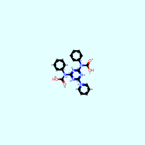 O=C(O)N(c1ccccc1)c1nc(N(C(=O)O)c2ccccc2)nc(-[n+]2ccccc2)n1